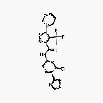 O=C(Nc1cnc(-n2nccn2)c(Cl)c1)c1nsc(-c2ccccc2)c1C(F)(F)F